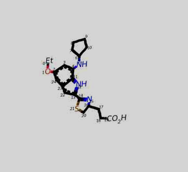 CCOc1cc(NC2CCCC2)c2[nH]c(C3=NC(CCC(=O)O)CS3)cc2c1